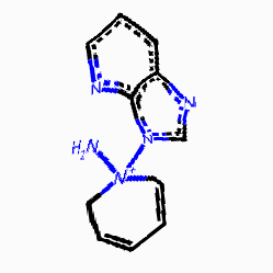 N[N+]1(n2cnc3cccnc32)C=CC=CC1